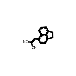 N#CC(C#N)=Cc1ccc2c3c(cccc13)CC2